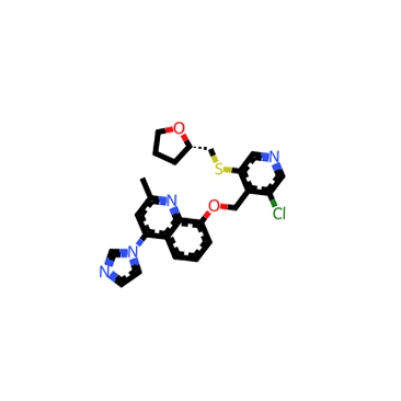 Cc1cc(-n2ccnc2)c2cccc(OCc3c(Cl)cncc3SC[C@@H]3CCCO3)c2n1